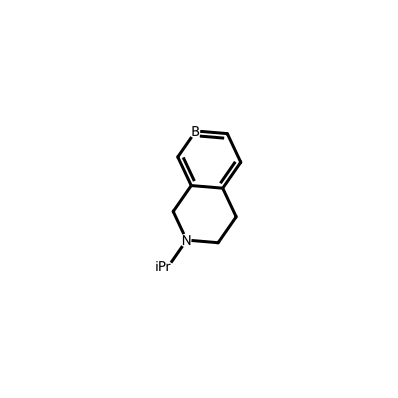 CC(C)N1CCc2ccbcc2C1